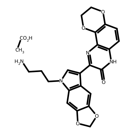 CC(=O)O.NCCCn1cc(-c2nc3c4c(ccc3[nH]c2=O)OCCO4)c2cc3c(cc21)OCO3